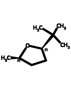 C[C@@H]1CC[C@H](C(C)(C)C)O1